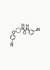 N#Cc1ccc(OC2CCC(NC(=O)Nc3cccc(C#N)c3)CC2)cc1